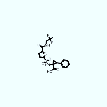 O=C(NCC(F)(F)F)c1ccc(S(=O)(=O)NC2(C(=O)O)CC2c2ccccc2)s1